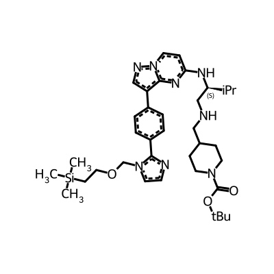 CC(C)[C@@H](CNCC1CCN(C(=O)OC(C)(C)C)CC1)Nc1ccn2ncc(-c3ccc(-c4nccn4COCC[Si](C)(C)C)cc3)c2n1